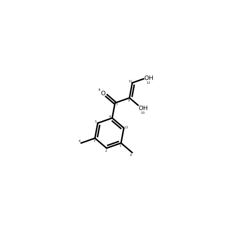 Cc1cc(C)cc(C(=O)C(O)=CO)c1